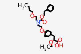 CCCCOCCN(CCOc1ccc(CC(OCC)C(=O)O)cc1)C(=O)OCCc1ccccc1